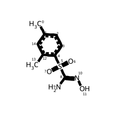 Cc1ccc(S(=O)(=O)C(N)=NO)c(C)c1